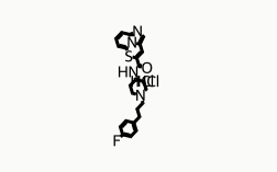 Cl.Cl.O=C(NC1CCN(CCCc2ccc(F)cc2)CC1)C1=Cc2cnc3cccc(n23)S1